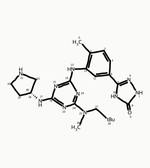 Cc1ccc(-c2n[nH]c(=O)[nH]2)cc1Nc1nc(N[C@@H]2CCNC2)nc(N(C)CC(C)(C)C)n1